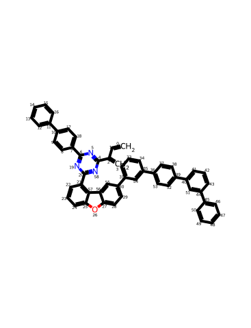 C=CC(=C)c1nc(-c2ccc(-c3ccccc3)cc2)nc(-c2cccc3oc4ccc(-c5cccc(-c6ccc(-c7cccc(-c8ccccc8)c7)cc6)c5)cc4c23)n1